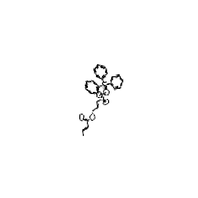 CC=CC(=O)OCCCS(=O)(=O)OS(c1ccccc1)(c1ccccc1)c1ccccc1